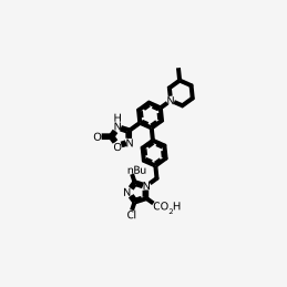 CCCCc1nc(Cl)c(C(=O)O)n1Cc1ccc(-c2cc(N3CCCC(C)C3)ccc2-c2noc(=O)[nH]2)cc1